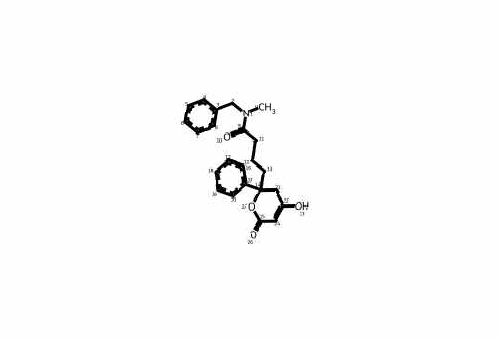 CN(Cc1ccccc1)C(=O)CCCC1(c2ccccc2)CC(O)=CC(=O)O1